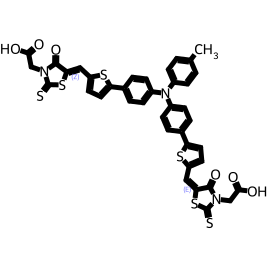 Cc1ccc(N(c2ccc(-c3ccc(/C=C4\SC(=S)N(CC(=O)O)C4=O)s3)cc2)c2ccc(-c3ccc(/C=C4/SC(=S)N(CC(=O)O)C4=O)s3)cc2)cc1